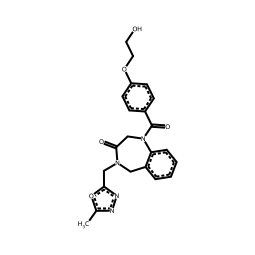 Cc1nnc(CN2Cc3ccccc3N(C(=O)c3ccc(OCCO)cc3)CC2=O)o1